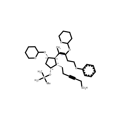 C/C(=C(/CCOc1ccccc1)OC1CCCCO1)[C@H]1[C@H](CCC#CCS(=O)(=O)O)[C@H](O[Si](C)(C)C(C)(C)C)C[C@@H]1OC1CCCCO1